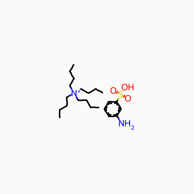 CCCC[N+](CCCC)(CCCC)CCCC.Nc1cccc(S(=O)(=O)O)c1